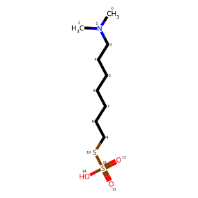 CN(C)CCCCCCCSS(=O)(=O)O